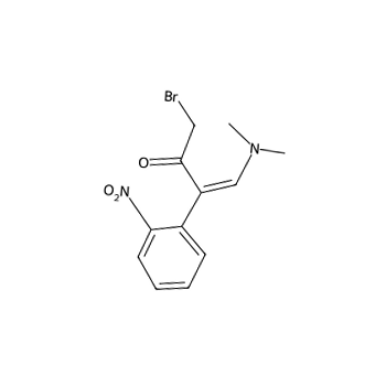 CN(C)C=C(C(=O)CBr)c1ccccc1[N+](=O)[O-]